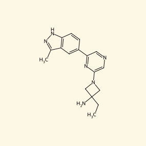 CCC1(N)CN(c2cncc(-c3ccc4[nH]nc(C)c4c3)n2)C1